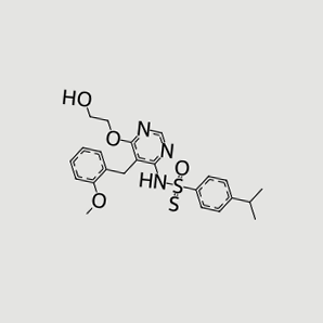 COc1ccccc1Cc1c(NS(=O)(=S)c2ccc(C(C)C)cc2)ncnc1OCCO